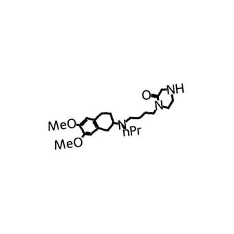 CCCN(CCCCN1CCNCC1=O)C1CCc2cc(OC)c(OC)cc2C1